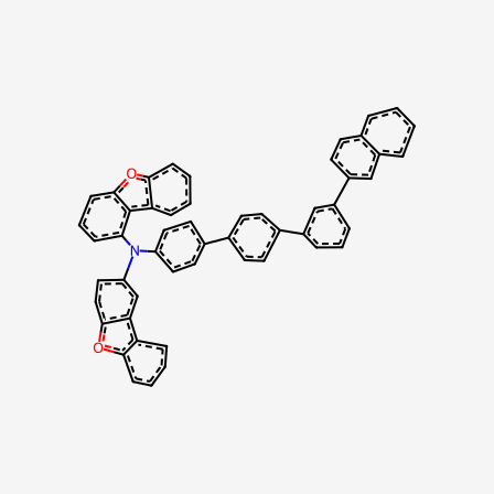 c1cc(-c2ccc(-c3ccc(N(c4ccc5oc6ccccc6c5c4)c4cccc5oc6ccccc6c45)cc3)cc2)cc(-c2ccc3ccccc3c2)c1